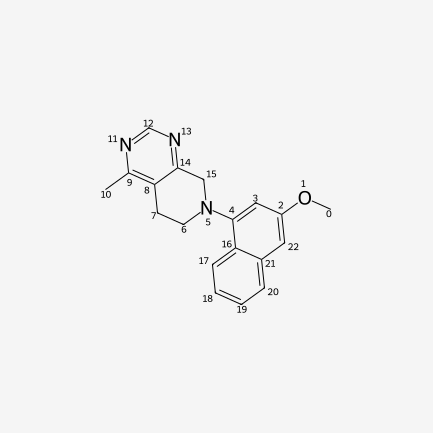 COc1cc(N2CCc3c(C)ncnc3C2)c2ccccc2c1